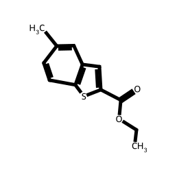 CCOC(=O)c1cc2cc(C)ccc2s1